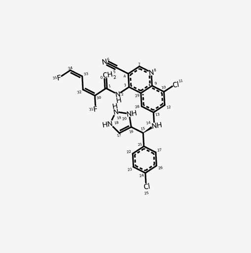 C=C(Nc1c(C#N)cnc2c(Cl)cc(N[C@H](C3=CNNN3)c3ccc(Cl)cc3)cc12)/C(F)=C\C=C/F